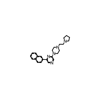 c1ccc2cc(-c3cncc(N4CCN(CCN5CCCC5)CC4)n3)ccc2c1